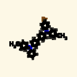 Cc1ccc(N(c2ccccc2)c2ccc(-c3ccc(N(c4ccc(C)cc4)c4ccc(Br)cc4)cc3)cc2)cc1